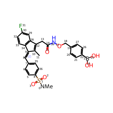 CNS(=O)(=O)c1ccc(/C=C2\C(C)=C(CC(=O)NOCc3ccc(B(O)O)cc3)c3cc(F)ccc32)cc1